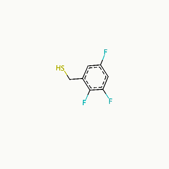 Fc1cc(F)c(F)c(CS)c1